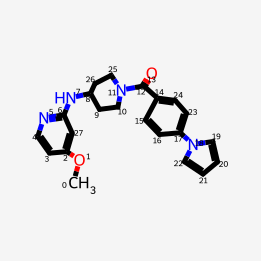 COc1ccnc(NC2CCN(C(=O)c3ccc(-n4cccc4)cc3)CC2)c1